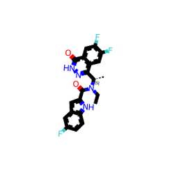 CCN(C(=O)c1cc2cc(F)ccc2[nH]1)[C@@H](C)c1n[nH]c(=O)c2cc(F)c(F)cc12